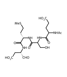 CSCC[C@H](NC(=O)C(CO)NC(=O)C(CCC(=O)O)NC(C)=O)C(=O)N[C@H](C=O)CC(=O)O